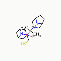 CC(C)N1CC2CC(C1)N2C(CS)C(C)(C)N1CC2CCC(C1)N2C(C)C